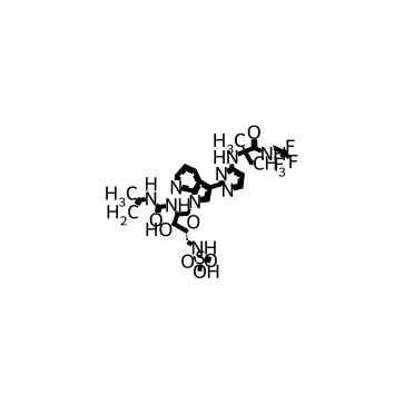 C=C(C)NC(=O)N[C@@H]1[C@H](O)[C@@H](CNS(=O)(=O)O)O[C@H]1n1cc(-c2nccc(N[C@](C)(CC)C(=O)NCC(F)(F)F)n2)c2cccnc21